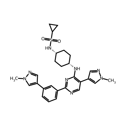 Cn1cc(-c2cccc(-c3ncc(-c4cnn(C)c4)c(N[C@H]4CC[C@@H](NS(=O)(=O)C5CC5)CC4)n3)c2)cn1